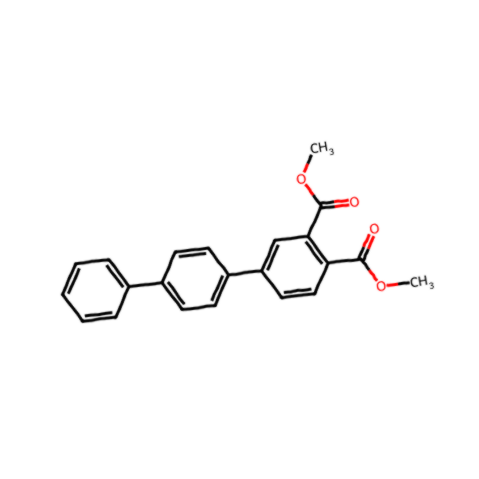 COC(=O)c1ccc(-c2ccc(-c3ccccc3)cc2)cc1C(=O)OC